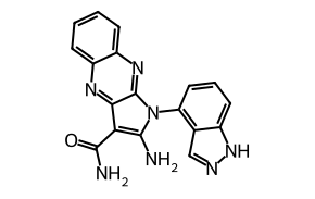 NC(=O)c1c(N)n(-c2cccc3[nH]ncc23)c2nc3ccccc3nc12